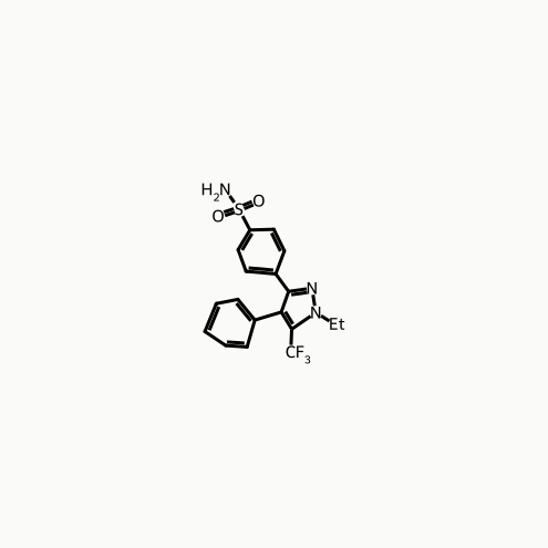 CCn1nc(-c2ccc(S(N)(=O)=O)cc2)c(-c2ccccc2)c1C(F)(F)F